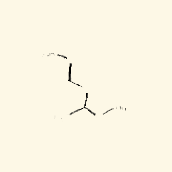 CCC[CH]OC(C)OCOCCC